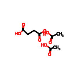 CC(=O)O.CC(=O)O.O=C(O)CCC(=O)O